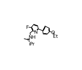 CCOc1ccc(-c2ccc(F)c(CN[C@H](C)C(C)C)n2)cc1